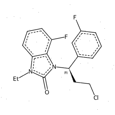 CCn1c(=O)n([C@H](CCCl)c2cccc(F)c2)c2c(F)cccc21